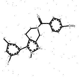 COc1ccc(C(=O)N2CCc3c(nn(C)c3-c3cc(C)cc(F)c3)C2)cc1